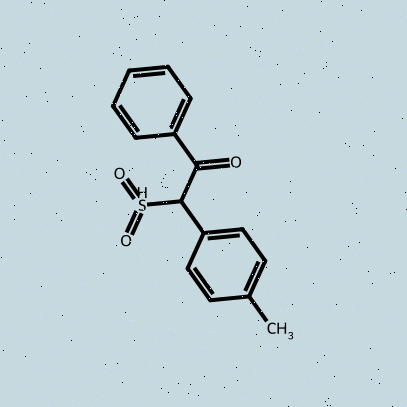 Cc1ccc(C(C(=O)c2ccccc2)[SH](=O)=O)cc1